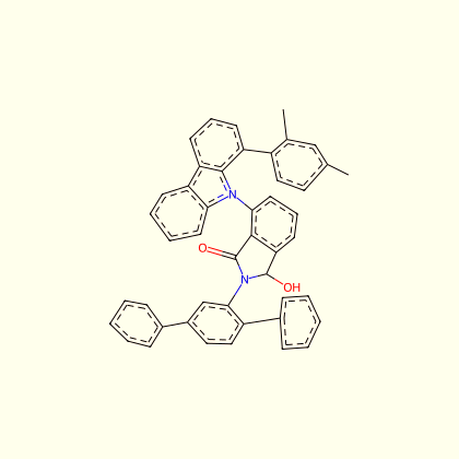 Cc1ccc(-c2cccc3c4ccccc4n(-c4cccc5c4C(=O)N(c4cc(-c6ccccc6)ccc4-c4ccccc4)C5O)c23)c(C)c1